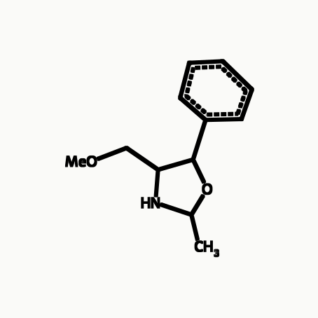 COCC1NC(C)OC1c1ccccc1